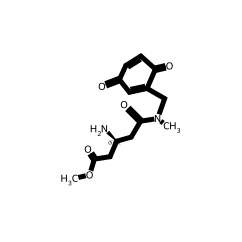 COC(=O)C[C@@H](N)CC(=O)N(C)CC1=CC(=O)C=CC1=O